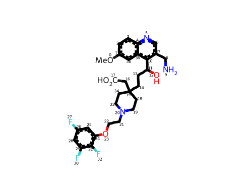 COc1ccc2ncc(CN)c(C(O)CCC3(CC(=O)O)CCN(CCOc4cc(F)cc(F)c4F)CC3)c2c1